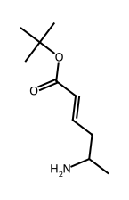 CC(N)CC=CC(=O)OC(C)(C)C